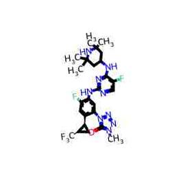 Cn1nnn(-c2cc(Nc3ncc(F)c(NC4CC(C)(C)NC(C)(C)C4)n3)c(F)cc2[C@H]2C[C@@H]2C(F)(F)F)c1=O